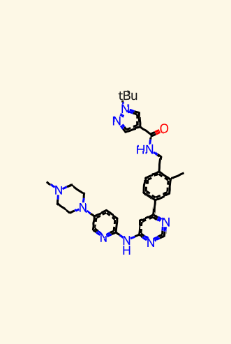 Cc1cc(-c2cc(Nc3ccc(N4CCN(C)CC4)cn3)ncn2)ccc1CNC(=O)c1cnn(C(C)(C)C)c1